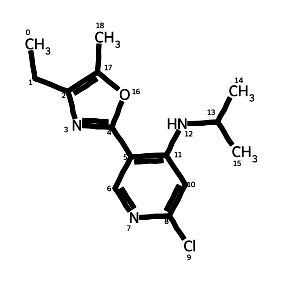 CCc1nc(-c2cnc(Cl)cc2NC(C)C)oc1C